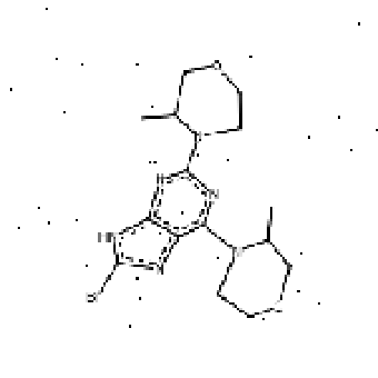 CC1COCCN1c1nc(N2CCOCC2C)c2nc(Br)[nH]c2n1